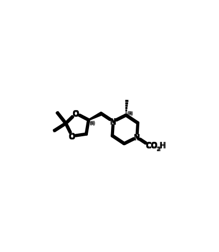 C[C@@H]1CN(C(=O)O)CCN1C[C@H]1COC(C)(C)O1